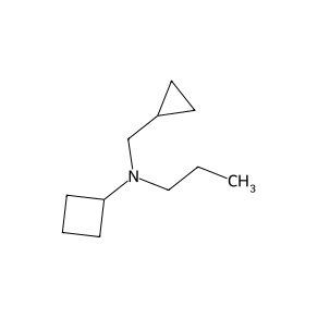 CCCN(CC1CC1)C1CCC1